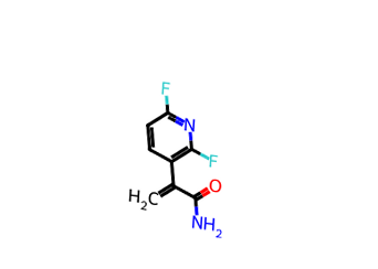 C=C(C(N)=O)c1ccc(F)nc1F